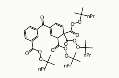 CCCC(C)(C)OOC(=O)c1cccc(C(=O)C2=CC(C(=O)OOC(C)(C)CCC)C(C(=O)OOC(C)(C)CCC)(C(=O)OOC(C)(C)CCC)C=C2)c1